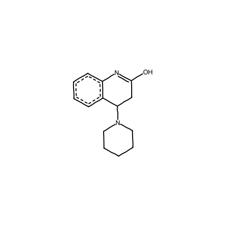 OC1=Nc2ccccc2C(N2CCCCC2)C1